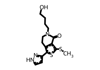 CSc1sc(-c2cc[nH]n2)c2c1C(=O)N(CCCCO)CC2